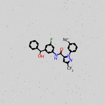 N#Cc1cccc(-n2nc(C(F)(F)F)cc2C(=O)Nc2cc(F)cc(C(O)c3ccccc3)c2)c1